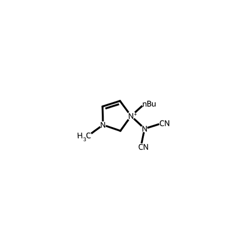 CCCC[N+]1(N(C#N)C#N)C=CN(C)C1